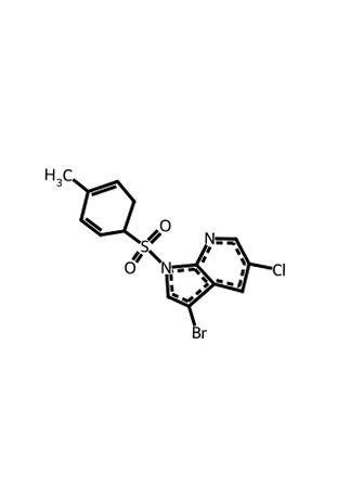 CC1=CCC(S(=O)(=O)n2cc(Br)c3cc(Cl)cnc32)C=C1